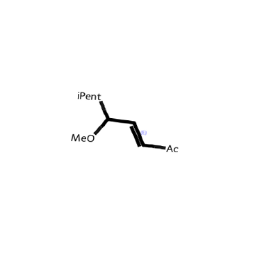 CCCC(C)C(/C=C/C(C)=O)OC